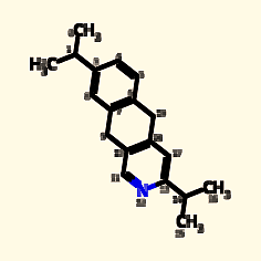 CC(C)c1ccc2c(c1)Cc1cnc(C(C)C)cc1C2